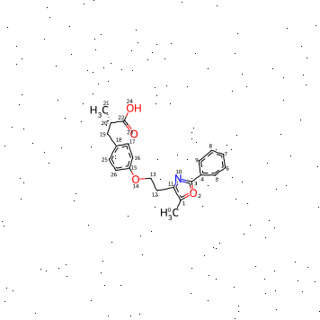 Cc1oc(-c2ccccc2)nc1CCOc1ccc(C[C@H](C)C(=O)O)cc1